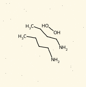 CCCCN.CCCCN.OO